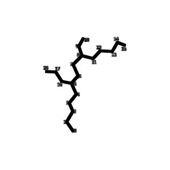 CCCCCC([CH]CC(CC)CCCCC)CCC